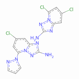 Nc1nc2cc(Cl)cc(-n3cccn3)n2n1.Nc1nc2cc(Cl)cc(Cl)n2n1